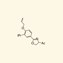 C=CCOc1ccc(C2=NC(C(C)=O)CO2)cc1C(C)C